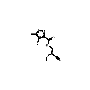 COC(C#N)CNC(=O)c1snc(Cl)c1Cl